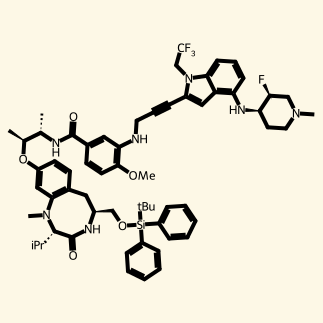 COc1ccc(C(=O)N[C@@H](C)[C@H](C)Oc2ccc3c(c2)N(C)[C@@H](C(C)C)C(=O)N[C@H](CO[Si](c2ccccc2)(c2ccccc2)C(C)(C)C)C3)cc1NCC#Cc1cc2c(N[C@@H]3CCN(C)C[C@@H]3F)cccc2n1CC(F)(F)F